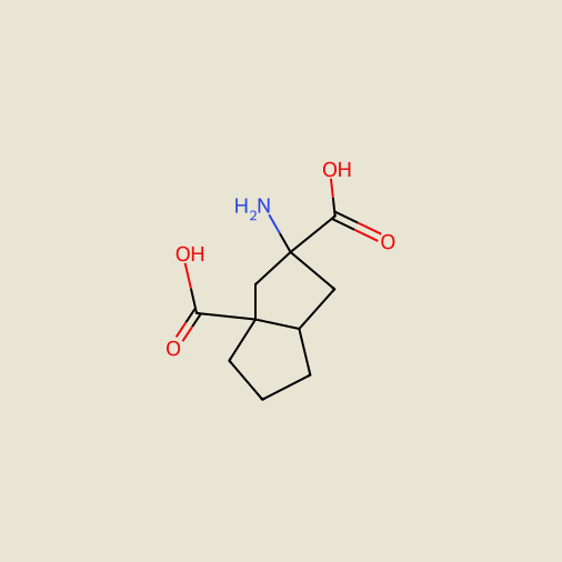 NC1(C(=O)O)CC2CCCC2(C(=O)O)C1